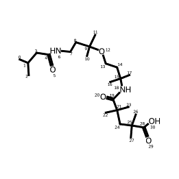 CC(C)CC(=O)NCCC(C)(C)OCCC(C)(C)NC(=O)C(C)(C)CC(C)(C)C(=O)O